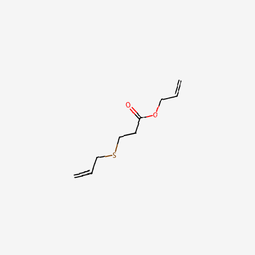 C=CCOC(=O)CCSCC=C